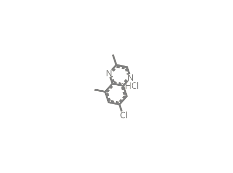 Cc1cnc2cc(Cl)cc(C)c2n1.Cl